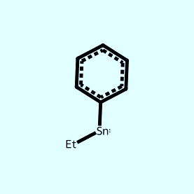 C[CH2][Sn][c]1ccccc1